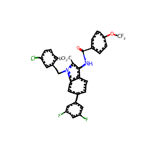 O=C(Nc1c(C(=O)O)n(Cc2cccc(Cl)c2)c2cc(-c3cc(F)cc(F)c3)ccc12)c1ccc(OC(F)(F)F)cc1